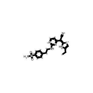 CCC1=CS/C(=C(\C#N)c2ccnc(NCCc3ccc(S(N)(=O)=O)cc3)n2)N1